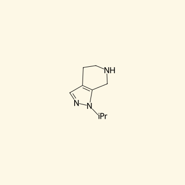 CC(C)n1ncc2c1CNCC2